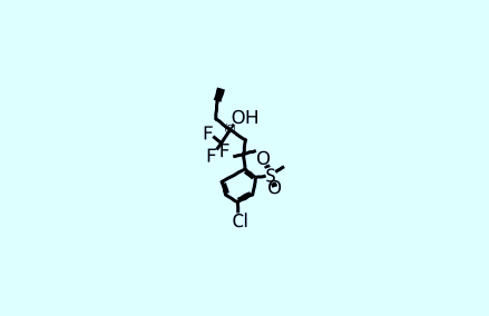 C#CC[C@](O)(CC(C)(C)c1ccc(Cl)cc1S(C)(=O)=O)C(F)(F)F